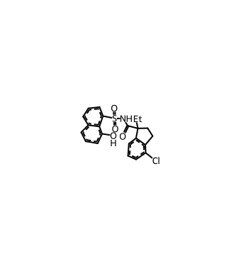 CCC1(C(=O)NS(=O)(=O)c2cccc3cccc(O)c23)CCc2c(Cl)cccc21